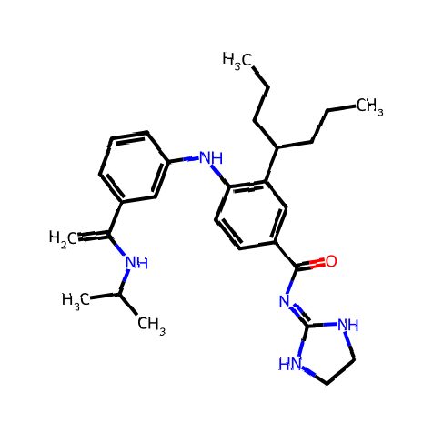 C=C(NC(C)C)c1cccc(Nc2ccc(C(=O)N=C3NCCN3)cc2C(CCC)CCC)c1